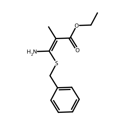 CCOC(=O)C(C)=C(N)SCc1ccccc1